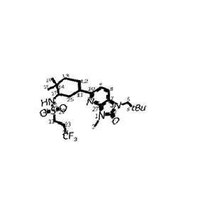 Cn1c(=O)n(CC(C)(C)C)c2ccc(C3CCC(C)(C)C(NS(=O)(=O)CCC(F)(F)F)C3)nc21